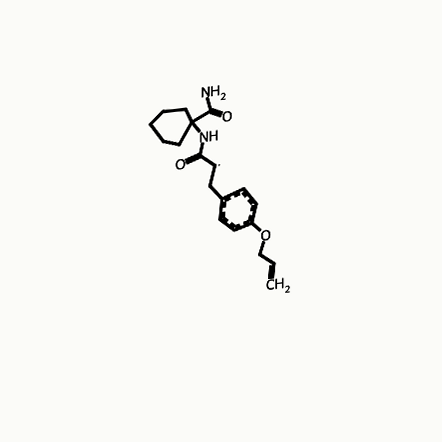 C=CCOc1ccc(C[CH]C(=O)NC2(C(N)=O)CCCCC2)cc1